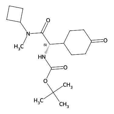 CN(C(=O)[C@@H](NC(=O)OC(C)(C)C)C1CCC(=O)CC1)C1CCC1